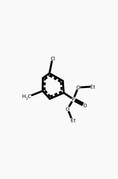 CCOP(=O)(OCC)c1cc(C)cc(Cl)c1